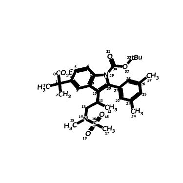 CCOC(=O)C(C)(C)c1ccc2c(c1)c(C(C)CN(C)S(C)(=O)=O)c(-c1cc(C)cc(C)c1)n2C(=O)OC(C)(C)C